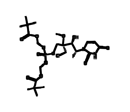 CO[C@](CCl)(COP(=O)(OCOC(=O)C(C)(C)C)OCOC(=O)C(C)(C)C)[C@@H](O)[C@@H](F)n1ccc(=O)[nH]c1=O